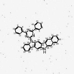 c1ccc(-c2nc(-c3ccccc3)nc(-n3c4ccccc4c4cc5[nH]c6cc7ccccc7cc6c5cc43)n2)cc1